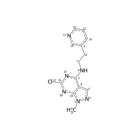 Cn1ncc2c(NCCc3cccnc3)nc(Cl)nc21